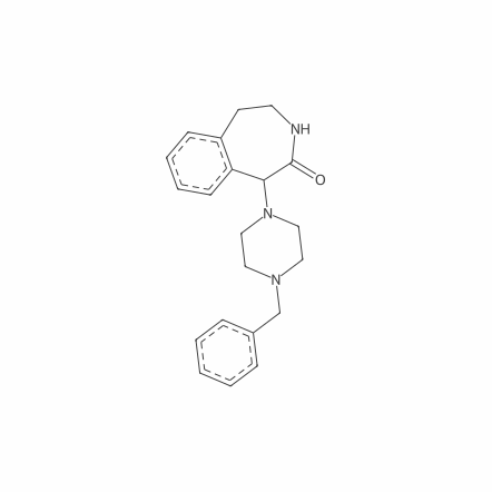 O=C1NCCc2ccccc2C1N1CCN(Cc2ccccc2)CC1